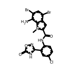 Cn1c(C(=O)Nc2ccc(Cl)cc2-c2noc(=O)[nH]2)cc2c(Br)cc(Br)c(N)c21